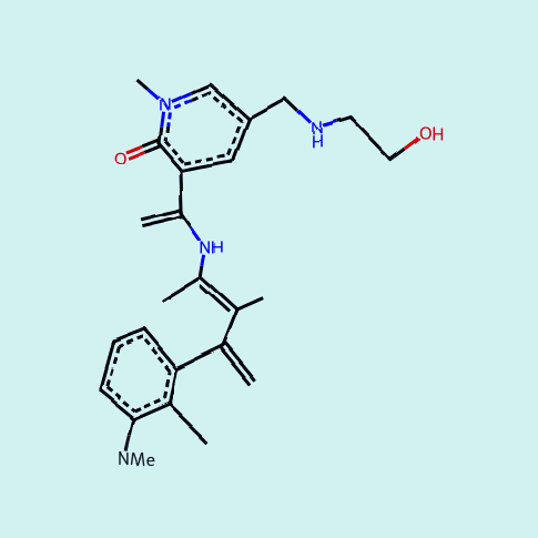 C=C(/C(C)=C(\C)NC(=C)c1cc(CNCCO)cn(C)c1=O)c1cccc(NC)c1C